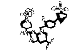 CS(=O)(=O)N1CCC(Nc2ncc3c(n2)N(Cc2ccc(-c4cccc(S(=O)(=O)Cl)c4)cc2F)CC(C(F)F)=C3)CC1